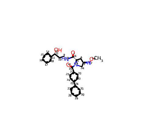 CO/N=C1\C[C@@H](C(=O)NCC[C@@H](O)c2ccccc2)N(C(=O)c2ccc(-c3ccccc3)cc2)C1